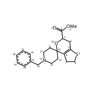 COC(=O)C1CC2=C(CCS2)C2(CCN(Cc3ccccc3)CC2)O1